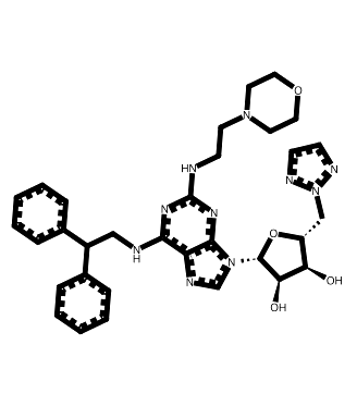 O[C@@H]1[C@H](O)[C@@H](Cn2nccn2)O[C@H]1n1cnc2c(NCC(c3ccccc3)c3ccccc3)nc(NCCN3CCOCC3)nc21